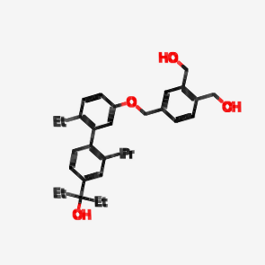 CCc1ccc(OCc2ccc(CO)c(CO)c2)cc1-c1ccc(C(O)(CC)CC)cc1C(C)C